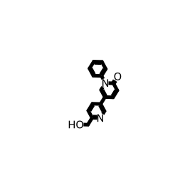 O=c1ccc(-c2ccc(CO)nc2)cn1-c1ccccc1